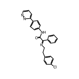 O=C(Nc1ccc(-c2cccnn2)cc1)/C(=N/CCc1ccc(Cl)cc1)c1ccccc1